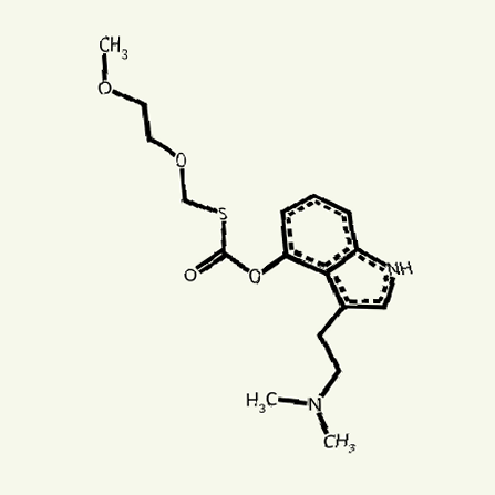 COCCOCSC(=O)Oc1cccc2[nH]cc(CCN(C)C)c12